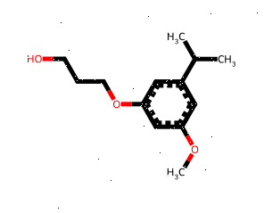 COc1cc(OCCCO)cc(C(C)C)c1